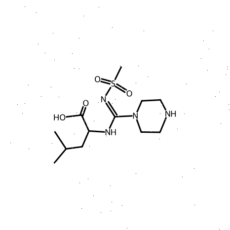 CC(C)CC(N/C(=N/S(C)(=O)=O)N1CCNCC1)C(=O)O